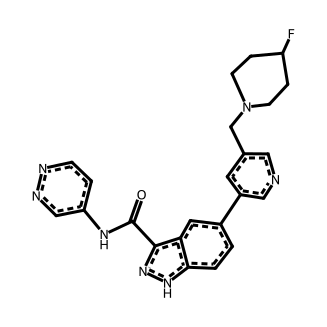 O=C(Nc1ccnnc1)c1n[nH]c2ccc(-c3cncc(CN4CCC(F)CC4)c3)cc12